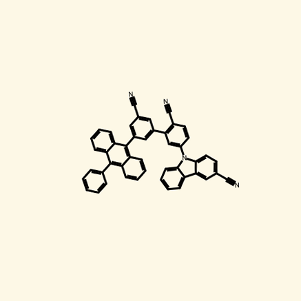 N#Cc1cc(-c2cc(-n3c4ccccc4c4cc(C#N)ccc43)ccc2C#N)cc(-c2c3ccccc3c(-c3ccccc3)c3ccccc23)c1